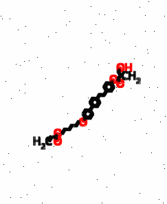 C=CC(=O)OCCCCCCOc1ccc(-c2ccc(/C=C/c3ccc(OC(=O)C(=C)CO)cc3)cc2)cc1